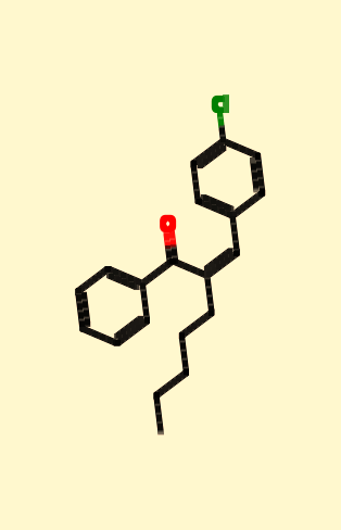 CCCCCC(=Cc1ccc(Cl)cc1)C(=O)c1ccccc1